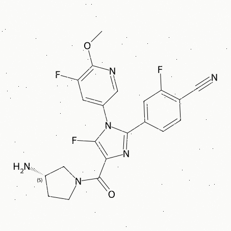 COc1ncc(-n2c(-c3ccc(C#N)c(F)c3)nc(C(=O)N3CC[C@H](N)C3)c2F)cc1F